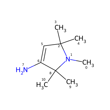 CN1C(C)(C)C=C(N)C1(C)C